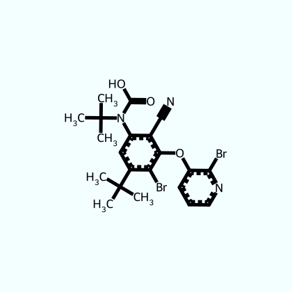 CC(C)(C)c1cc(N(C(=O)O)C(C)(C)C)c(C#N)c(Oc2cccnc2Br)c1Br